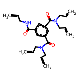 C=CCNC(=O)c1cc(C(=O)N(CC=C)CC=C)cc(C(=O)N(CC=C)CC=C)c1